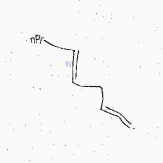 [CH]=CC/C=C/CCC